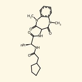 CCC[C@H](NC(=O)CC1CCCC1)C(=O)NC1C(=O)N(C)c2ccccc2N(C)C1=O